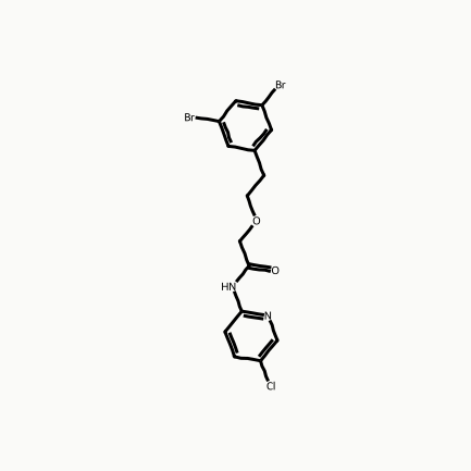 O=C(COCCc1cc(Br)cc(Br)c1)Nc1ccc(Cl)cn1